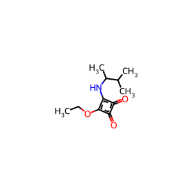 CCOc1c(NC(C)C(C)C)c(=O)c1=O